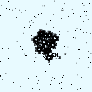 Cc1ccccc1-c1ccc2c(c1)c1ccc3c4ccccc4sc3c1n2-c1c(C#N)c(-n2c3ccccc3c3ccccc32)c(-n2c3ccccc3c3ccccc32)c(C#N)c1-n1c2ccccc2c2ccccc21